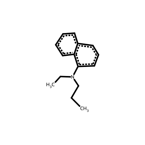 CCCN(CC)c1cccc2ccccc12